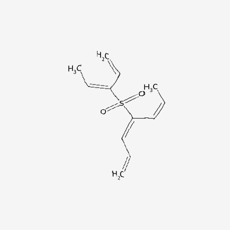 C=C/C=C(\C=C/C)S(=O)(=O)/C(C=C)=C/C